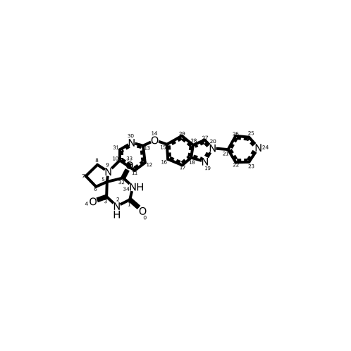 O=C1NC(=O)C2(CCCN2c2ccc(Oc3ccc4nn(-c5ccncc5)cc4c3)nc2)C(=O)N1